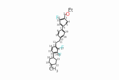 CCOCc1ccc(-c2ccc(CCc3ccc(C4CCC(C)CC4)c(F)c3F)cc2)cc1F